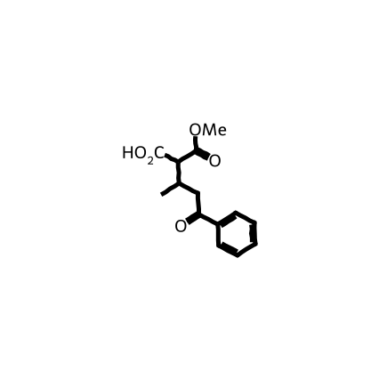 COC(=O)C(C(=O)O)C(C)CC(=O)c1ccccc1